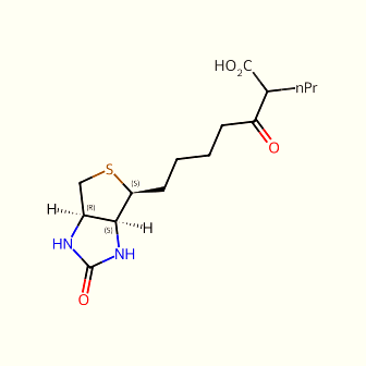 CCCC(C(=O)O)C(=O)CCCC[C@@H]1SC[C@@H]2NC(=O)N[C@@H]21